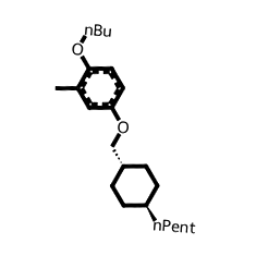 CCCCC[C@H]1CC[C@H](COc2ccc(OCCCC)c(C)c2)CC1